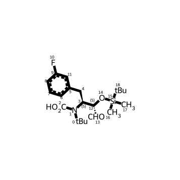 CC(C)(C)N(C(=O)O)[C@@H](Cc1cccc(F)c1)[C@@H](C=O)O[Si](C)(C)C(C)(C)C